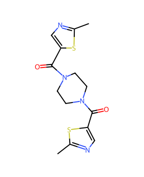 Cc1ncc(C(=O)N2CCN(C(=O)c3cnc(C)s3)CC2)s1